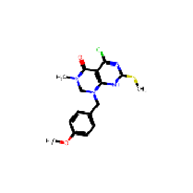 COc1ccc(CN2CN(C)C(=O)C3=C2NC(SC)N=C3Cl)cc1